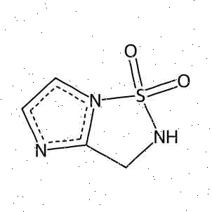 O=S1(=O)NCc2nccn21